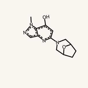 Cn1ncc2nc(N3CC4CCC(C3)O4)cc(O)c21